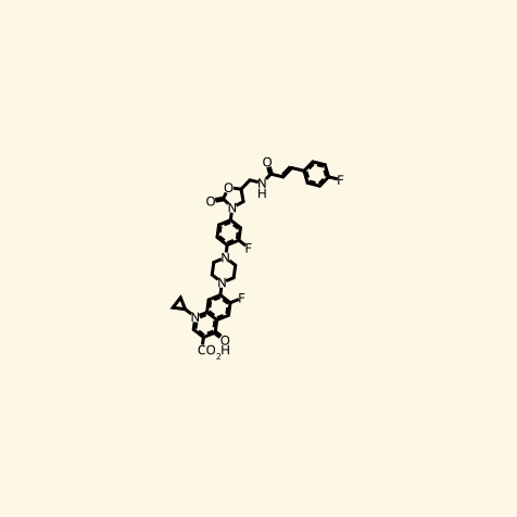 O=C(/C=C/c1ccc(F)cc1)NCC1CN(c2ccc(N3CCN(c4cc5c(cc4F)c(=O)c(C(=O)O)cn5C4CC4)CC3)c(F)c2)C(=O)O1